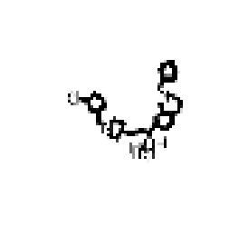 Cl.Cl.OC(CCC1CCN(Cc2cccc(Cl)c2)CC1)c1ccc2c(c1)CN(Cc1ccccc1)CCC2